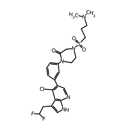 CN(C)CCCS(=O)(=O)N1CCN(c2cccc(-c3cnc4[nH]cc(CC(F)F)c4c3Cl)c2)C(=O)C1